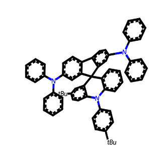 CC(C)(C)c1ccc(N2c3ccccc3C3(c4cc(N(c5ccccc5)c5ccccc5)ccc4-c4ccc(N(c5ccccc5)c5ccccc5)cc43)c3cc(C(C)(C)C)ccc32)cc1